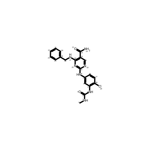 CNC(=O)Nc1cc(Nc2ncc(C(N)=O)c(NCc3ccccc3)n2)ccc1Cl